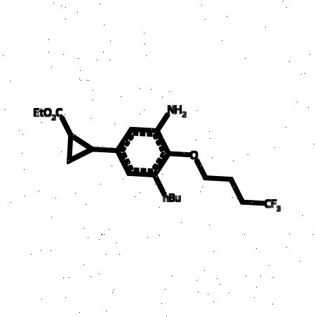 CCCCc1cc(C2CC2C(=O)OCC)cc(N)c1OCCCC(F)(F)F